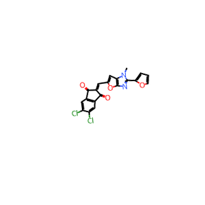 Cn1c(-c2ccco2)nc2oc(C=C3C(=O)c4cc(Cl)c(Cl)cc4C3=O)cc21